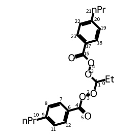 [CH2]C[C](OOC(=O)c1ccc(CCC)cc1)OOC(=O)c1ccc(CCC)cc1